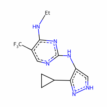 CCNc1nc(Nc2c[nH]nc2C2CC2)ncc1C(F)(F)F